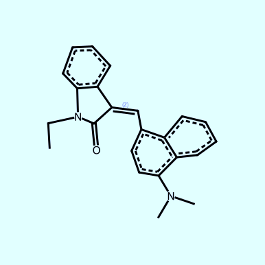 CCN1C(=O)/C(=C\c2ccc(N(C)C)c3ccccc23)c2ccccc21